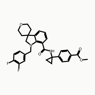 COC(=O)c1ccc(C2(NC(=O)c3cccc4c3N(Cc3ccc(F)c(F)c3)CC43CCOCC3)CC2)cc1